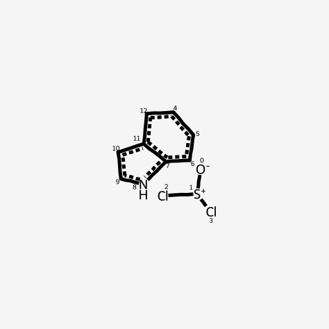 [O-][S+](Cl)Cl.c1ccc2[nH]ccc2c1